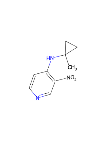 CC1(Nc2ccncc2[N+](=O)[O-])CC1